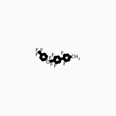 Cc1cc(F)c(-c2cc(F)c(C(F)(F)Oc3ccc(C(F)(F)F)cc3)c(F)c2)c(F)c1